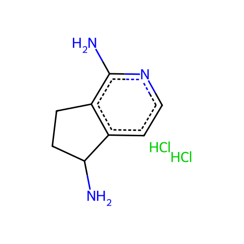 Cl.Cl.Nc1nccc2c1CCC2N